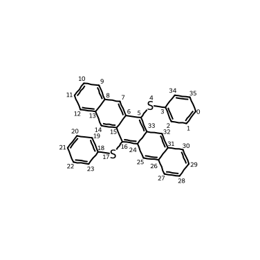 c1ccc(Sc2c3cc4ccccc4cc3c(Sc3ccccc3)c3cc4ccccc4cc23)cc1